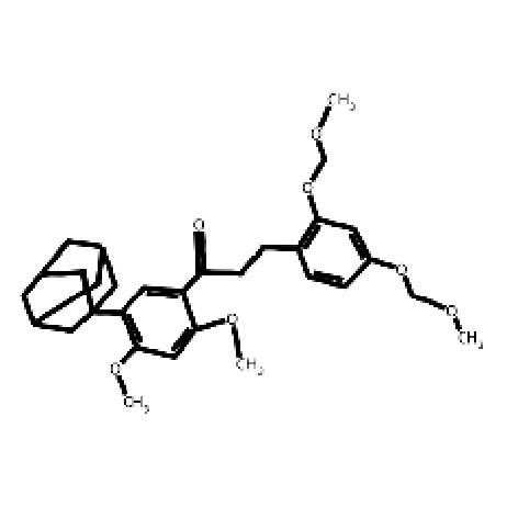 COCOc1ccc(CCC(=O)c2cc(C34CC5CC(CC(C5)C3)C4)c(OC)cc2OC)c(OCOC)c1